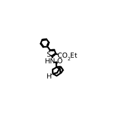 CCOC(=O)c1cc(-c2ccccc2)sc1NC(=O)C12CC3CC1C[C@@H](C3)C2